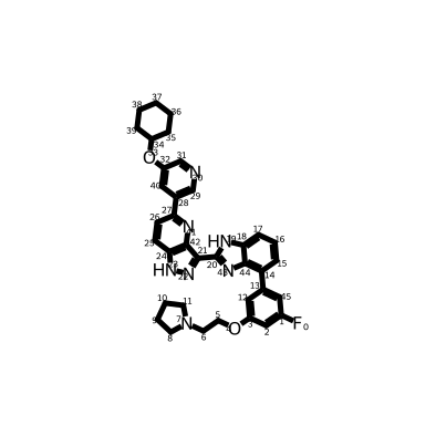 Fc1cc(OCCN2CCCC2)cc(-c2cccc3[nH]c(-c4n[nH]c5ccc(-c6cncc(OC7CCCCC7)c6)nc45)nc23)c1